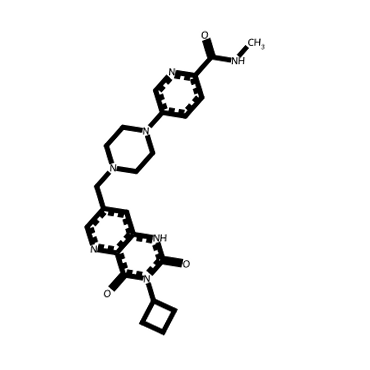 CNC(=O)c1ccc(N2CCN(Cc3cnc4c(=O)n(C5CCC5)c(=O)[nH]c4c3)CC2)cn1